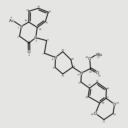 CC(=O)N1CC(=O)N(CCN2CCC(N(Cc3ccc4c(c3)OCCO4)C(=O)OC(C)(C)C)CC2)c2ccccc21